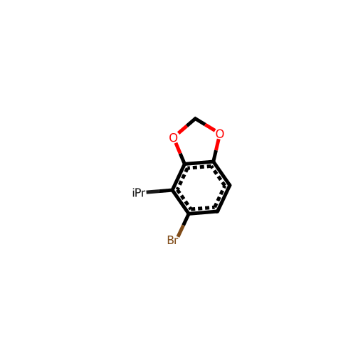 CC(C)c1c(Br)ccc2c1OCO2